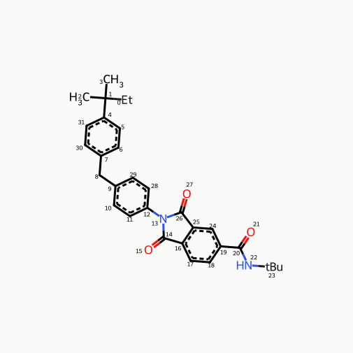 CCC(C)(C)c1ccc(Cc2ccc(N3C(=O)c4ccc(C(=O)NC(C)(C)C)cc4C3=O)cc2)cc1